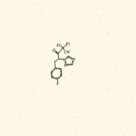 CCC(C#N)(CC)C(=O)C(Cc1ccc(F)cc1)n1cncn1